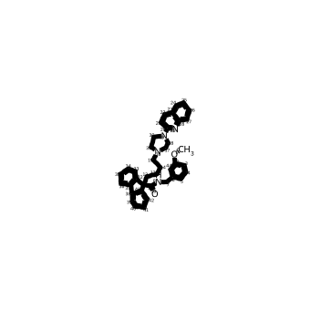 COc1cccc(CNC(=O)C2(CCCCN3CCN(c4ccc5ccccc5n4)CC3)c3ccccc3-c3ccccc32)c1